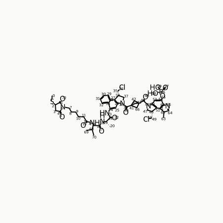 CSC1CC(=O)N(CCCCCC(=O)N[C@H](C(=O)N[C@@H](C)C(=O)Nc2cc3c(c4ccccc24)[C@H](CCl)CN3C(=O)C23CC(C(=O)N4C[C@@H](CCl)c5c4cc(OP(=O)(O)O)c4c5C(C)C=N4)(C2)C3)C(C)C)C1=O